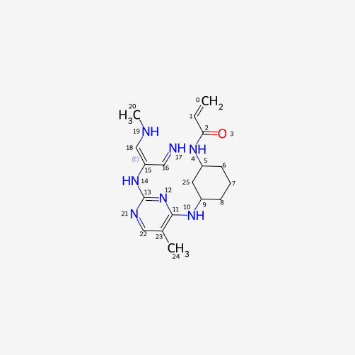 C=CC(=O)NC1CCCC(Nc2nc(N/C(C=N)=C/NC)ncc2C)C1